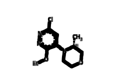 CCOc1nnc(Cl)cc1N1CCOC[C@H]1C